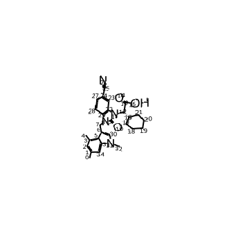 Cc1cc(C)c2c(Cn3c(=O)n([C@H](C(=O)O)C4CCCCC4)c4cc(C#N)ccc43)cn(C)c2c1